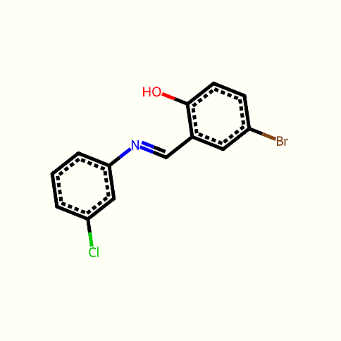 Oc1ccc(Br)cc1C=Nc1cccc(Cl)c1